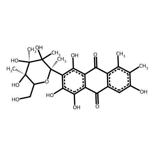 Cc1c(O)cc2c(c1C)C(=O)c1c(O)c([C@@]3(C)OC(CO)[C@@](C)(O)[C@@](C)(O)C3(C)O)c(O)c(O)c1C2=O